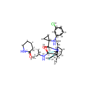 N#C[C@@H](C[C@H]1CCCNC1=O)NC(=O)[C@H]1[C@H]2CC[C@H](CC2(F)F)N1C(=O)C1(Nc2cccc(Cl)c2)CC1